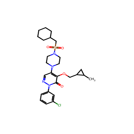 CC1CC1COc1c(N2CCN(S(=O)(=O)CC3CCCCC3)CC2)cnn(-c2cccc(Cl)c2)c1=O